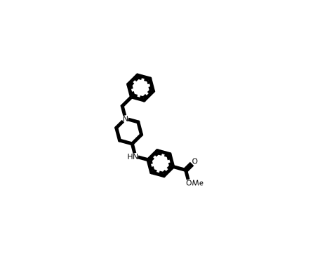 COC(=O)c1ccc(NC2CCN(Cc3ccccc3)CC2)cc1